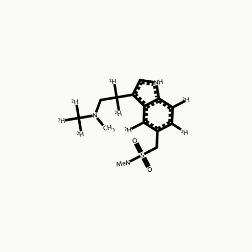 [2H]c1c(CS(=O)(=O)NC)c([2H])c2c(C([2H])([2H])CN(C)C([2H])([2H])[2H])c[nH]c2c1[2H]